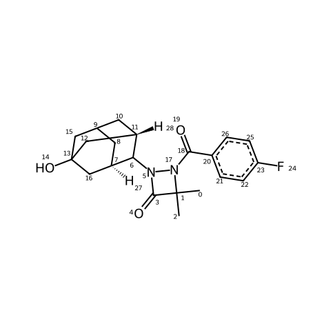 CC1(C)C(=O)N(C2[C@@H]3CC4C[C@H]2CC(O)(C4)C3)N1C(=O)c1ccc(F)cc1